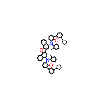 Cc1ccccc1N(c1cc2c3cc(N(c4ccccc4C)c4cccc5c4oc4c(C6CCCC6)cccc45)c4ccccc4c3oc2c2ccccc12)c1cccc2c1oc1c(C3CCCC3)cccc12